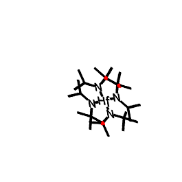 CC(C)[N](C(C)(C)C)[Hf]([N](C(C)C)C(C)(C)C)([N](C(C)C)C(C)(C)C)[N](C(C)C)C(C)(C)C